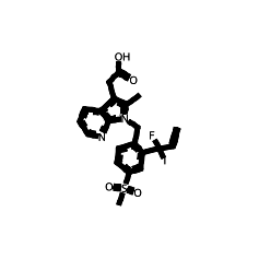 C=CC(F)(I)c1cc(S(C)(=O)=O)ccc1Cn1c(C)c(CC(=O)O)c2cccnc21